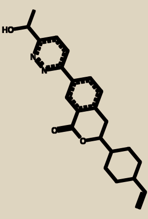 C=CC1CCC(C2Cc3ccc(-c4ccc(C(C)O)nn4)cc3C(=O)O2)CC1